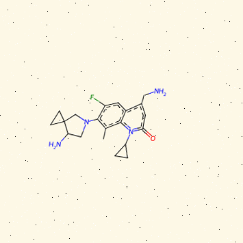 Cc1c(N2CC(N)C3(CC3)C2)c(F)cc2c(CN)cc(=O)n(C3CC3)c12